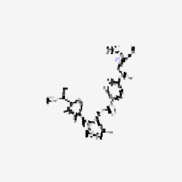 C=C/C(C#N)=C\N(C)c1ccc(OCc2c(C)nnn2-c2ccc(C(F)F)cn2)nn1